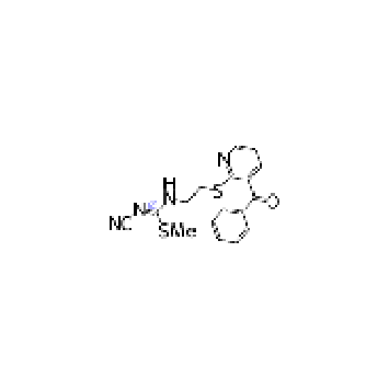 CS/C(=N\C#N)NCCSc1ncccc1C(=O)c1ccccc1